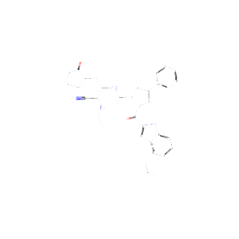 CCNC(C#N)C(CC1CCNC1=O)NC(O)C1CC(c2ccccc2)CN1C(=O)c1cc2c(OC(F)F)cccc2[nH]1